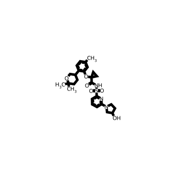 Cc1ccc(C2CCC(C)(C)OC2)c(OC2(C(=O)NS(=O)(=O)c3cccc(N4CCC(O)C4)n3)CC2)c1